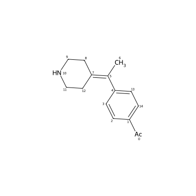 CC(=O)c1ccc(C(C)=C2CCNCC2)cc1